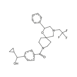 O=C(c1ccc(C(O)C2CC2)cc1)N1CCC2(CC1)CN(CC(F)(F)F)CC(c1ccccc1)O2